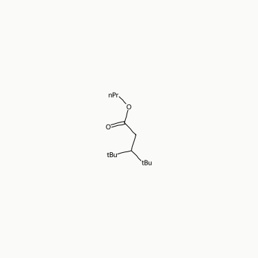 CCCOC(=O)CC(C(C)(C)C)C(C)(C)C